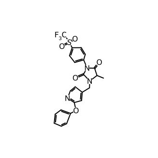 CC1C(=O)N(c2ccc(S(=O)(=O)C(F)(F)F)cc2)C(=O)N1Cc1ccnc(Oc2ccccc2)c1